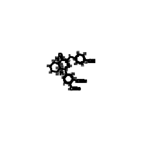 COc1ccc(C2=NN(Cc3ccc(O)cc3)C(=O)[C@@H]3CCCC[C@H]23)cc1OC